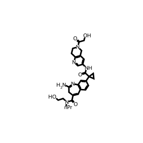 CCCN(CCO)C(=O)C1=Cc2ccc(C3(C(=O)Nc4cnc5c(c4)CN(C(=O)CO)CC5)CC3)cc2N=C(N)C1